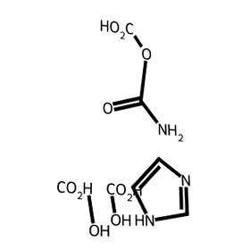 NC(=O)OC(=O)O.O=C(O)O.O=C(O)O.c1c[nH]cn1